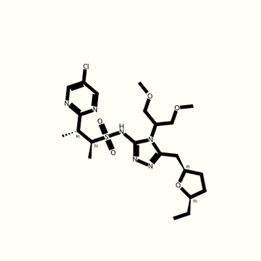 CC[C@@H]1CC[C@H](Cc2nnc(NS(=O)(=O)[C@@H](C)[C@H](C)c3ncc(Cl)cn3)n2C(COC)COC)O1